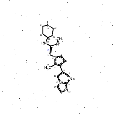 C=N/C(=N\n1ccc(-c2cnc3nccn3c2)c1C)NC1CCNCC1